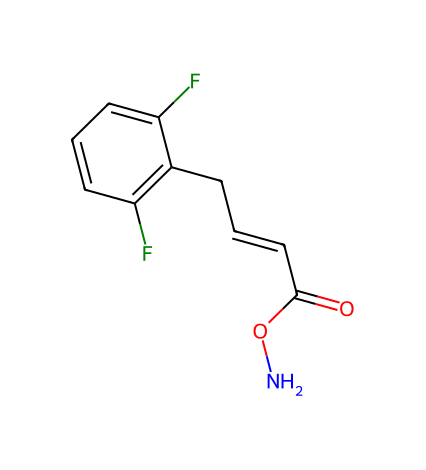 NOC(=O)/C=C/Cc1c(F)cccc1F